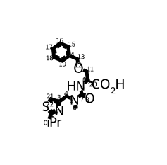 CC(C)c1nc(CN(C)C(=O)N[C@@H](COCc2ccccc2)C(=O)O)cs1